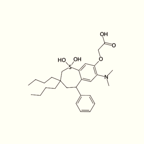 CCCCC1(CCCC)CC(c2ccccc2)c2cc(N(C)C)c(OCC(=O)O)cc2S(O)(O)C1